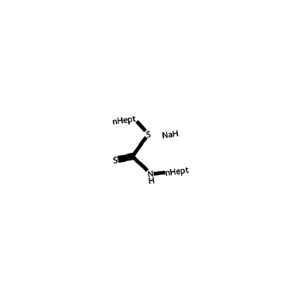 CCCCCCCNC(=S)SCCCCCCC.[NaH]